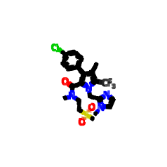 Cc1c(-c2ccc(Cl)cc2)c(C(=O)N(C)CCS(C)(=O)=O)n(Cc2nccn2C)c1C(F)(F)F